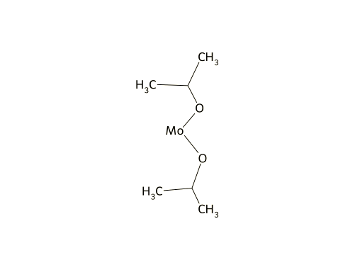 CC(C)[O][Mo][O]C(C)C